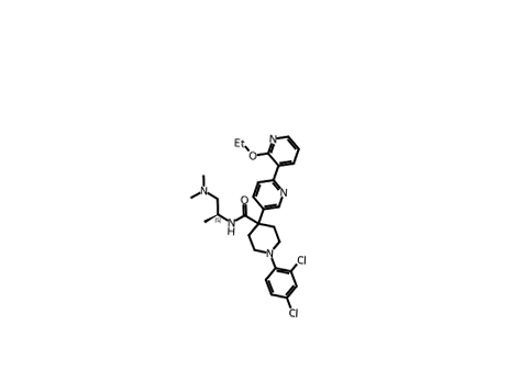 CCOc1ncccc1-c1ccc(C2(C(=O)N[C@@H](C)CN(C)C)CCN(c3ccc(Cl)cc3Cl)CC2)cn1